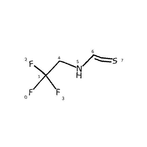 FC(F)(F)CNC=S